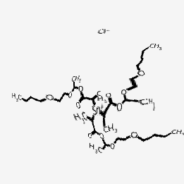 CCCCOCCOC(C)OC(=O)[CH](C)[Sn+]([CH](C)C(=O)OC(C)OCCOCCCC)[CH](C)C(=O)OC(C)OCCOCCCC.[Cl-]